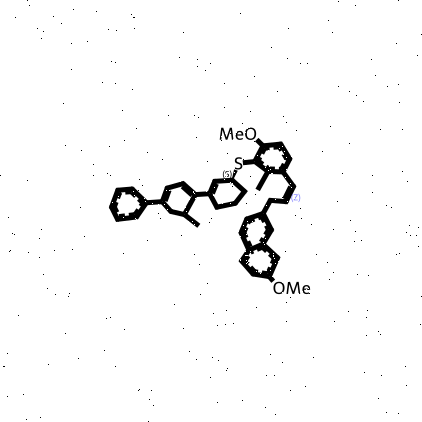 COc1ccc2ccc(C/C=C\c3ccc(OC)c(S[C@@H]4C=C(C5=CC=C(c6ccccc6)CC5C)CCC4)c3C)cc2c1